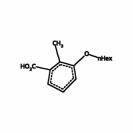 CCCCCCOc1cccc(C(=O)O)c1C